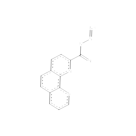 N=NNC(=N)c1ccc2ccc3cccnc3c2n1